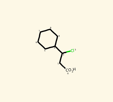 O=C(O)CC(Cl)C1CCCCC1